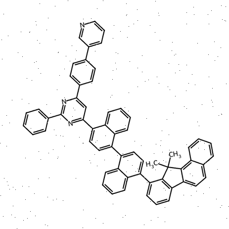 CC1(C)c2c(cccc2-c2ccc(-c3ccc(-c4cc(-c5ccc(-c6cccnc6)cc5)nc(-c5ccccc5)n4)c4ccccc34)c3ccccc23)-c2ccc3ccccc3c21